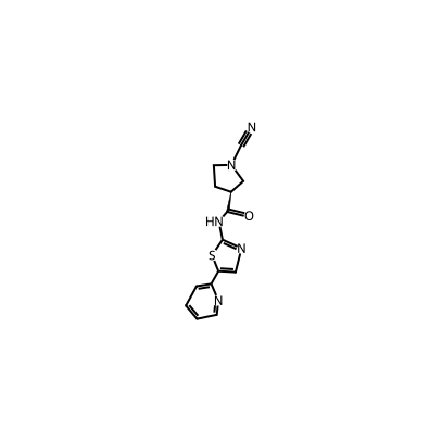 N#CN1CC[C@H](C(=O)Nc2ncc(-c3ccccn3)s2)C1